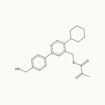 C=C(C)C(=O)OCc1cc(-c2ccc(CO)cc2)ccc1C1CCCCC1